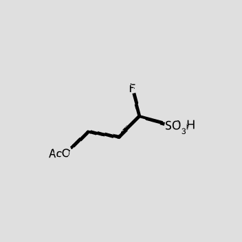 CC(=O)OCCC(F)S(=O)(=O)O